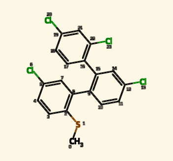 CSc1ccc(Cl)cc1-c1ccc(Cl)cc1-c1ccc(Cl)cc1Cl